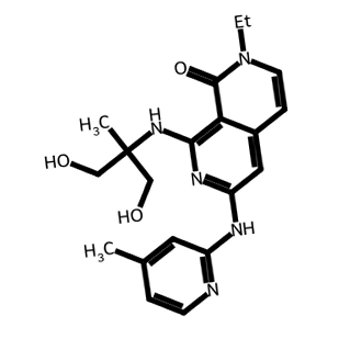 CCn1ccc2cc(Nc3cc(C)ccn3)nc(NC(C)(CO)CO)c2c1=O